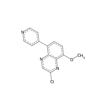 COc1ccc(-c2ccncc2)c2ncc(Cl)nc12